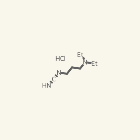 CCN(CC)CCCN=C=N.Cl